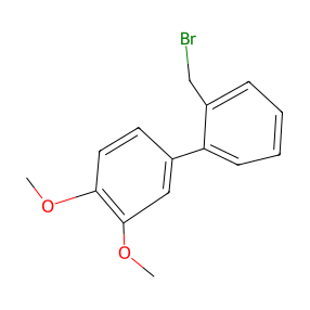 COc1ccc(-c2ccccc2CBr)cc1OC